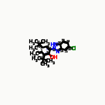 C=C/C(=C(O)\C(=C/CC(C)(C)C)N1N=C2C=C(Cl)C=CC2N1)C(C)(C)C